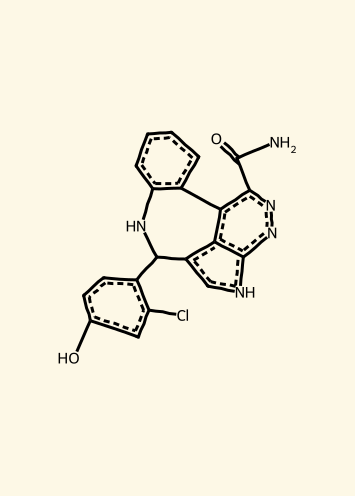 NC(=O)c1nnc2[nH]cc3c2c1-c1ccccc1NC3c1ccc(O)cc1Cl